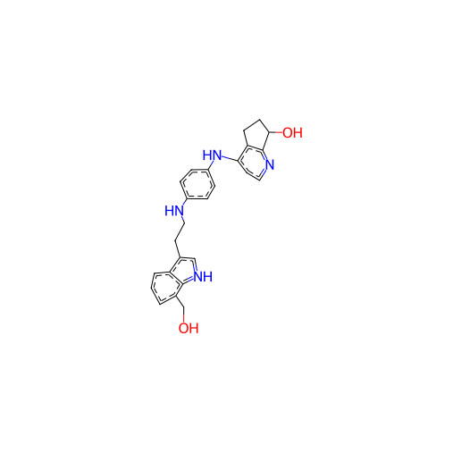 OCc1cccc2c(CCNc3ccc(Nc4ccnc5c4CCC5O)cc3)c[nH]c12